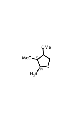 B[C@@H]1OCC(OC)[C@@H]1OC